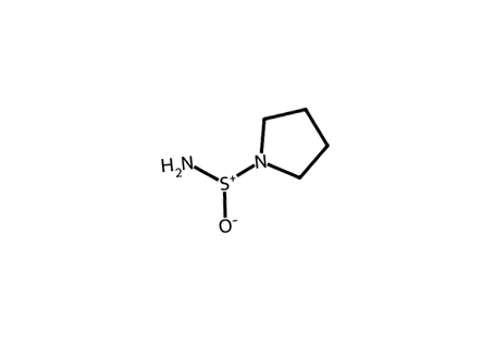 N[S+]([O-])N1CCCC1